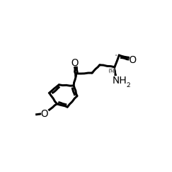 COc1ccc(C(=O)CC[C@H](N)[C]=O)cc1